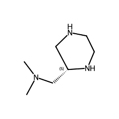 CN(C)C[C@@H]1CNCCN1